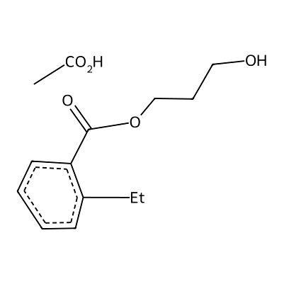 CC(=O)O.CCc1ccccc1C(=O)OCCCO